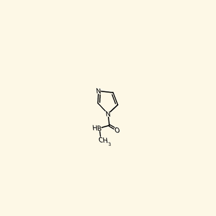 CBC(=O)n1ccnc1